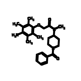 Cc1c(C)c(OCC(=O)N(C)C2CCN(C(=O)c3ccccc3)CC2)c(C)c(C)c1N